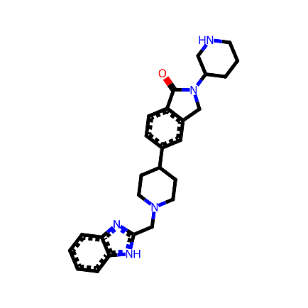 O=C1c2ccc(C3CCN(Cc4nc5ccccc5[nH]4)CC3)cc2CN1C1CCCNC1